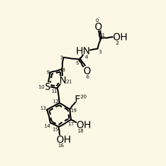 O=C(O)CNC(=O)Cc1csc(-c2ccc(O)c(O)c2F)n1